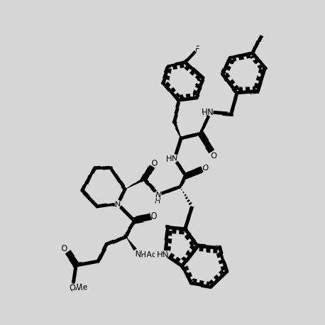 COC(=O)CC[C@H](NC(C)=O)C(=O)N1CCCC[C@H]1C(=O)N[C@@H](Cc1c[nH]c2ccccc12)C(=O)N[C@@H](Cc1ccc(F)cc1)C(=O)NCc1ccc(C)cc1